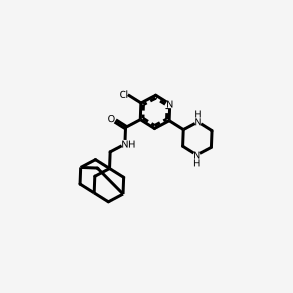 O=C(NCC12CC3CC(CC(C3)C1)C2)c1cc(C2CNCCN2)ncc1Cl